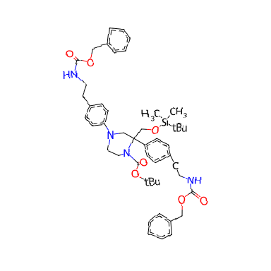 CC(C)(C)OC(=O)N1CCN(c2ccc(CCNC(=O)OCc3ccccc3)cc2)CC1(CO[Si](C)(C)C(C)(C)C)c1ccc(CCNC(=O)OCc2ccccc2)cc1